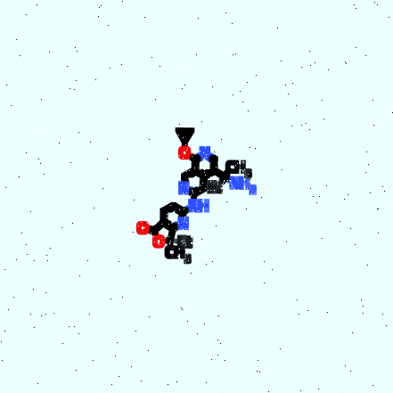 CCC(C)(N)c1cnc(OC2CC2)c2cnc(Nc3ccc4c(n3)[C@](C)(CC)OC4=O)cc12